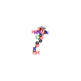 Cc1c(OCCCN2CCC(O)CC2)cccc1-c1cccc2c1CC[C@@H]2Oc1cc(OCc2cncc(C#N)c2)c(CN[C@H](C(=O)OC(C)C)[C@@H](C)O)cc1Cl